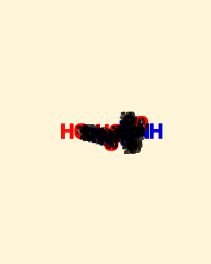 O=C1NCc2c1c1c3ccccc3n3c1c1c2c2ccccc2n1CC(O)(COC(=O)N1CCN(c2ccc(O)cc2)CC1)C3